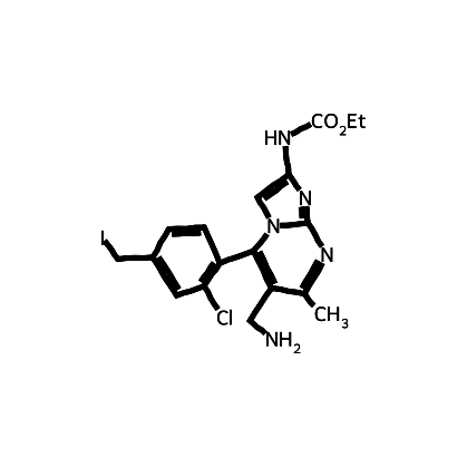 CCOC(=O)Nc1cn2c(-c3ccc(CI)cc3Cl)c(CN)c(C)nc2n1